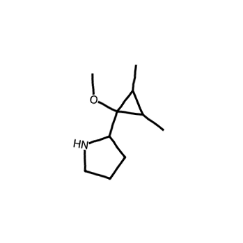 COC1(C2CCCN2)C(C)C1C